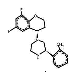 Cc1ccccc1[C@@H]1CN([C@@H]2CCOc3c(F)cc(F)cc32)CCN1